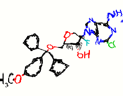 COc1ccc(C(OC[C@H]2OC[C@](F)(n3cnc4c(N)nc(Cl)nc43)[C@@H]2O)(c2ccccc2)c2ccccc2)cc1